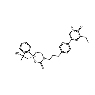 CCc1cc(-c2ccc(CCCN3CC[C@](CC(C)(C)O)(c4ccccc4)OC3=O)cc2)c[nH]c1=O